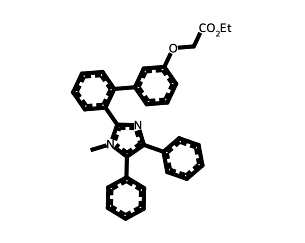 CCOC(=O)COc1cccc(-c2ccccc2-c2nc(-c3ccccc3)c(-c3ccccc3)n2C)c1